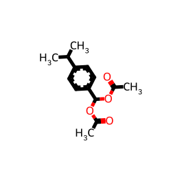 CC(=O)OC(OC(C)=O)c1ccc(C(C)C)cc1